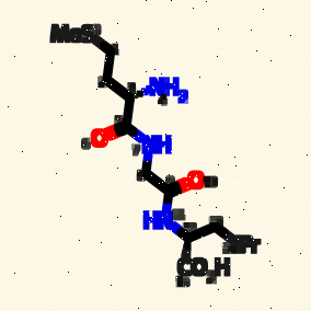 CSCC[C@H](N)C(=O)NCC(=O)N[C@@H](CC(C)C)C(=O)O